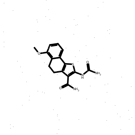 COc1cccc2c1CCc1c-2sc(NC(N)=O)c1C(N)=O